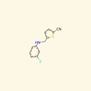 N#Cc1ccc(CNc2cccc(F)c2)s1